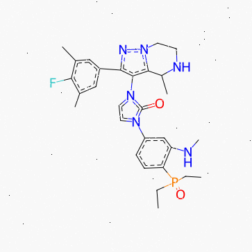 CCP(=O)(CC)c1ccc(-n2ccn(-c3c(-c4cc(C)c(F)c(C)c4)nn4c3C(C)NCC4)c2=O)cc1NC